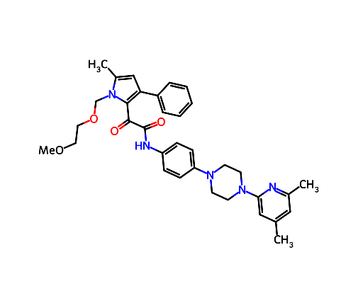 COCCOCn1c(C)cc(-c2ccccc2)c1C(=O)C(=O)Nc1ccc(N2CCN(c3cc(C)cc(C)n3)CC2)cc1